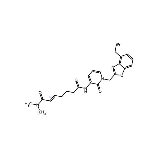 CC(C)Cc1cccc2oc(Cn3cccc(NC(=O)CCC/C=C/C(=O)N(C)C)c3=O)nc12